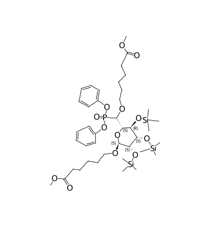 COC(=O)CCCCCOC([C@H]1O[C@H](OCCCCCC(=O)OC)[C@@H](O[Si](C)(C)C)[C@@H](O[Si](C)(C)C)[C@@H]1O[Si](C)(C)C)P(=O)(Oc1ccccc1)Oc1ccccc1